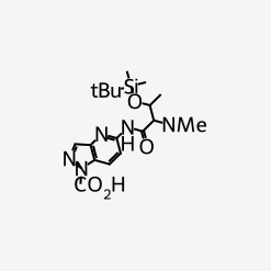 CNC(C(=O)Nc1ccc2c(cnn2C(=O)O)n1)C(C)O[Si](C)(C)C(C)(C)C